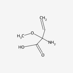 C=CC(N)(OC)C(=O)O